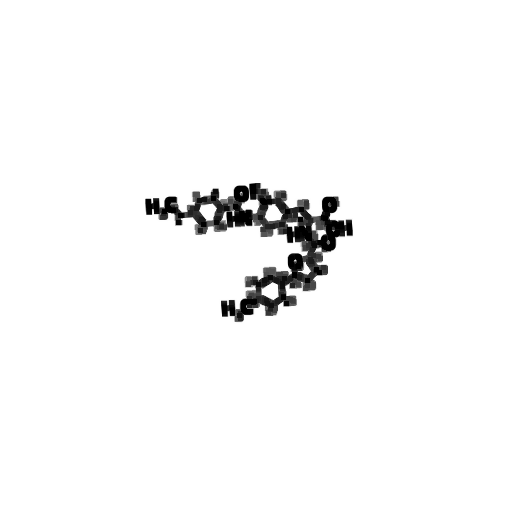 CCc1ccc(C(=O)Nc2ccc(CC(NC(=O)c3ccc(-c4ccc(C)cc4)o3)C(=O)O)cc2F)cc1